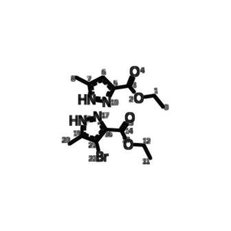 CCOC(=O)c1cc(C)[nH]n1.CCOC(=O)c1n[nH]c(C)c1Br